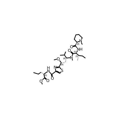 CCC[C@H](NC(=O)c1csc([C@@H](C[C@H](C(C)C)N(C)C(=O)[C@@H](NC(=O)[C@H]2CCCCN2C)[C@@H](C)CC)OC)n1)C(=O)OC